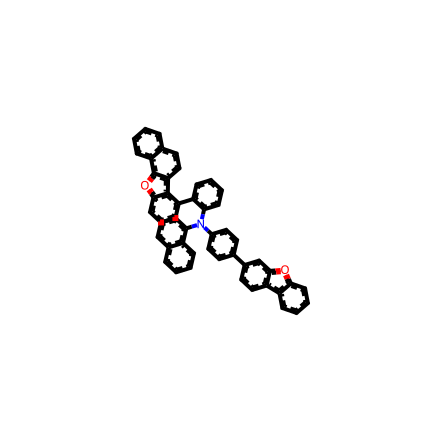 c1ccc(N(c2ccc(-c3ccc4c(c3)oc3ccccc34)cc2)c2cccc3ccccc23)c(-c2cccc3oc4c5ccccc5ccc4c23)c1